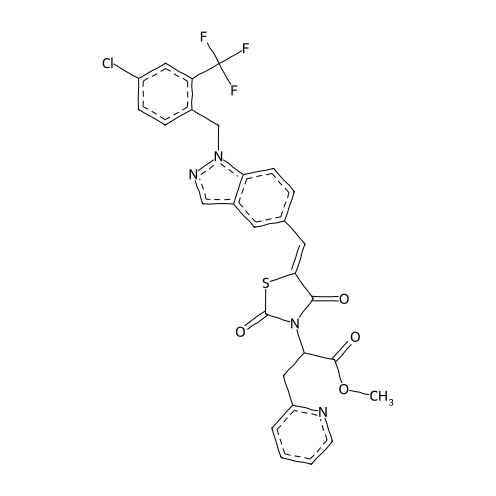 COC(=O)C(Cc1ccccn1)N1C(=O)SC(=Cc2ccc3c(cnn3Cc3ccc(Cl)cc3C(F)(F)F)c2)C1=O